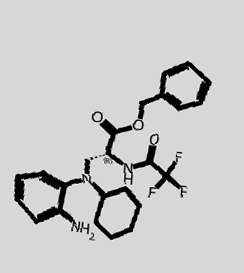 Nc1ccccc1N(C[C@@H](NC(=O)C(F)(F)F)C(=O)OCc1ccccc1)C1CCCCC1